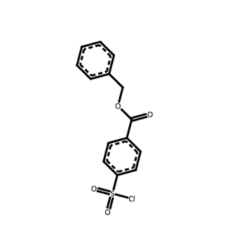 O=C(OCc1ccccc1)c1ccc(S(=O)(=O)Cl)cc1